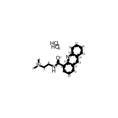 CN(C)CCNC(=O)c1cccc2cc3ccccc3nc12.Cl.Cl